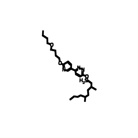 CCCCOCCCCOc1ccc(-c2ccc(O[SiH2]CC(C)CCC(C)CCCC)nn2)cn1